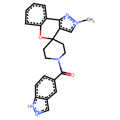 Cn1cc2c(n1)-c1ccccc1OC21CCN(C(=O)c2ccc3[nH]ncc3c2)CC1